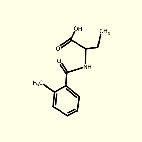 CCC(NC(=O)c1ccccc1C)C(=O)O